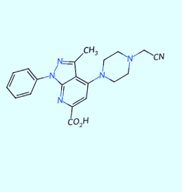 Cc1nn(-c2ccccc2)c2nc(C(=O)O)cc(N3CCN(CC#N)CC3)c12